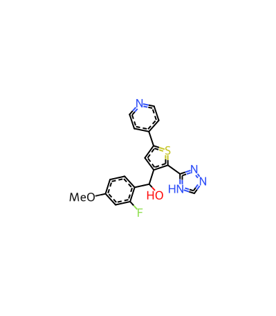 COc1ccc(C(O)c2cc(-c3ccncc3)sc2-c2nnc[nH]2)c(F)c1